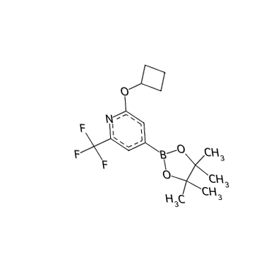 CC1(C)OB(c2cc(OC3CCC3)nc(C(F)(F)F)c2)OC1(C)C